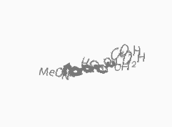 COc1ccc2cc(-c3ccc(C4(O)CCCN(C(=O)CC(O)(CC(=O)O)C(=O)O)C4)cc3)ccc2n1